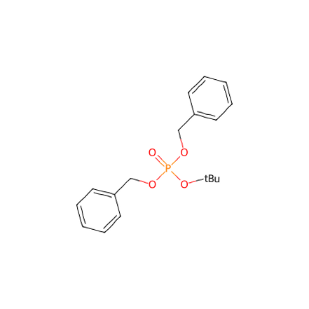 [CH2]C(C)(C)OP(=O)(OCc1ccccc1)OCc1ccccc1